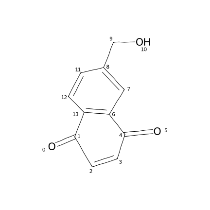 O=C1C=CC(=O)c2cc(CO)ccc21